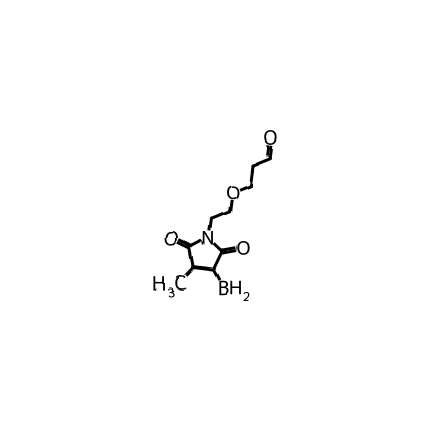 BC1C(=O)N(CCOCCC=O)C(=O)C1C